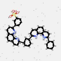 O=S(=O)(O)c1cccc(-c2ccc3ccc4ccc(-c5cccc(-c6ccc7ccc8ccc(-c9ccccc9)nc8c7n6)c5)nc4c3n2)c1